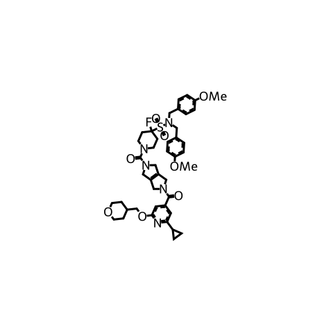 COc1ccc(CN(Cc2ccc(OC)cc2)S(=O)(=O)C2(F)CCN(C(=O)N3CC4=C(CN(C(=O)c5cc(OCC6CCOCC6)nc(C6CC6)c5)C4)C3)CC2)cc1